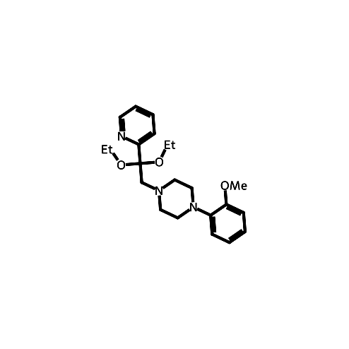 CCOC(CN1CCN(c2ccccc2OC)CC1)(OCC)c1ccccn1